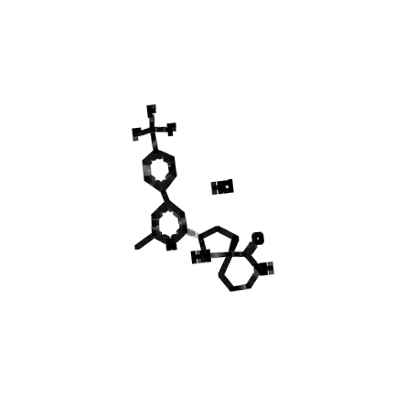 Cc1cc(-c2ccc(C(F)(F)F)cc2)cc([C@@H]2CC[C@@]3(CCCNC3=O)N2)n1.Cl